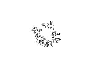 C[C@H](CC[C@@H](O[C@H]1C[C@@H](O)C[C@@H](CO[C@H]2C[C@@H](O)C[C@@H](CO)O2)O1)C(C)(C)O)[C@H]1CC[C@@]2(C)[C@@H]3CC=C4C(CC[C@H](O[C@H]5C[C@@H](O)C[C@@H](CO)O5)C4(C)C)[C@]3(C)CC[C@]12C